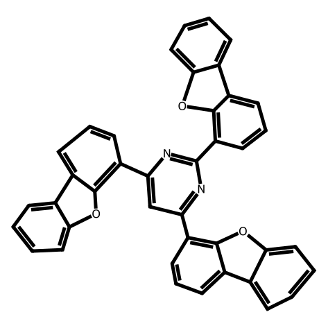 c1ccc2c(c1)oc1c(-c3cc(-c4cccc5c4oc4ccccc45)nc(-c4cccc5c4oc4ccccc45)n3)cccc12